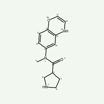 CN(C(=O)C1CCNC1)c1ccc2c(c1)NC=CO2